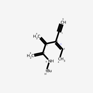 C#C/C(=C/C)C(=C)C(=C)NC(C)(C)C